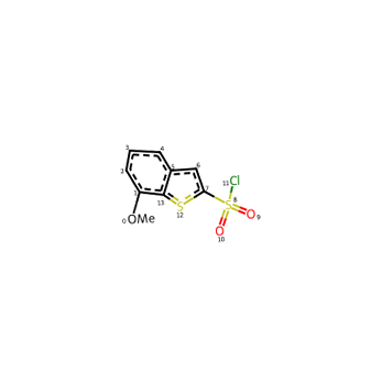 COc1cccc2cc(S(=O)(=O)Cl)sc12